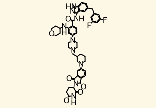 O=C1CCC(N2C(=O)c3ccc(N4CCCC(CN5CCN(c6ccc(C(=O)Nc7n[nH]c8ccc(Cc9cc(F)cc(F)c9)cc78)c(NC7CCOCC7)c6)CC5)C4)cc3C2=O)C(=O)N1